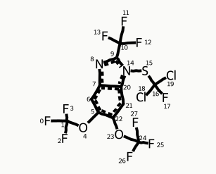 FC(F)(F)Oc1cc2nc(C(F)(F)F)n(SC(F)(Cl)Cl)c2cc1OC(F)(F)F